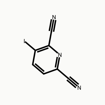 N#Cc1ccc(I)c(C#N)n1